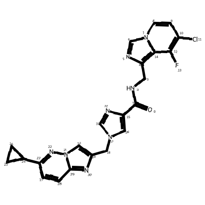 O=C(NCc1ncn2ccc(Cl)c(F)c12)c1cn(Cc2cn3nc(C4CC4)ccc3n2)cn1